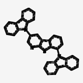 c1cc(-n2c3ccccc3c3ccccc32)c2sc3ncc(-n4c5ccccc5c5ccccc54)cc3c2c1